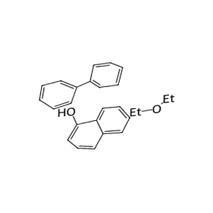 CCOCC.Oc1cccc2ccccc12.c1ccc(-c2ccccc2)cc1